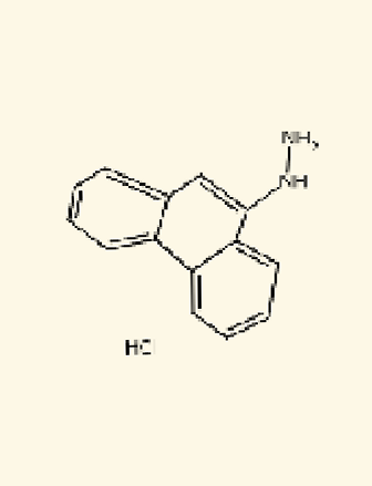 Cl.NNc1cc2ccccc2c2ccccc12